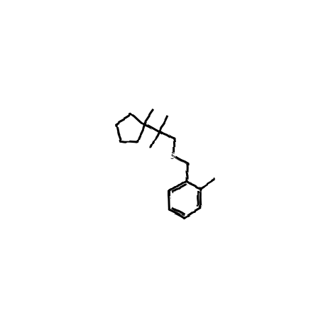 Cc1ccccc1CSCC(C)(C)C1(C)CCCC1